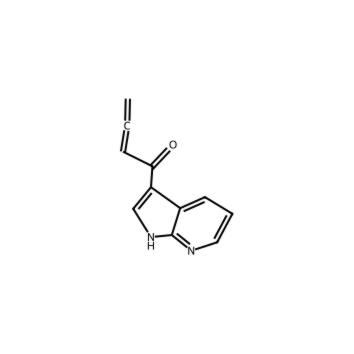 C=C=CC(=O)c1c[nH]c2ncccc12